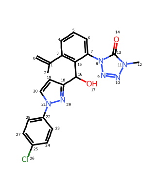 C=C(C)c1cccc(-n2nnn(C)c2=O)c1C(O)c1ccn(-c2ccc(Cl)cc2)n1